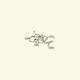 CC(=O)OCC(=O)[C@H]1C(C)C[C@H]2[C@@H]3CC(F)C4=CC(=O)CC[C@]4(C)[C@H]3C(O)C[C@]12C